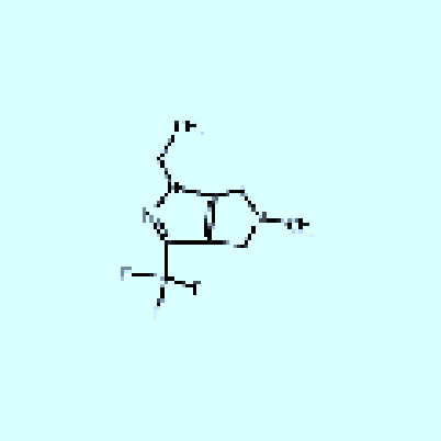 CCn1nc(C(F)(F)F)c2c1CN(C)C2